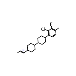 C/C=C/C1CCC(C2CCC(c3ccc(C)c(F)c3Cl)CC2)CC1